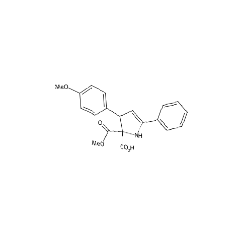 COC(=O)C1(C(=O)O)NC(c2ccccc2)=CC1c1ccc(OC)cc1